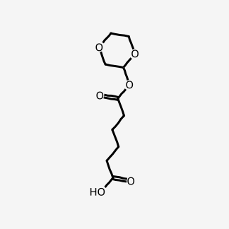 O=C(O)CCCCC(=O)OC1COCCO1